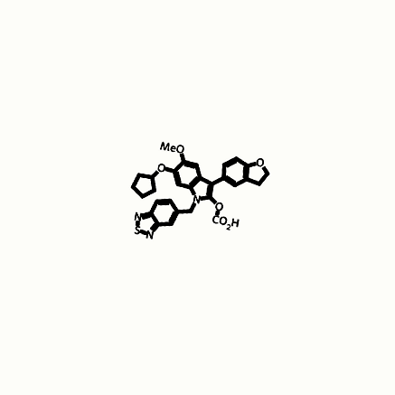 COc1cc2c(-c3ccc4c(c3)CCO4)c(OC(=O)O)n(Cc3ccc4nsnc4c3)c2cc1OC1CCCC1